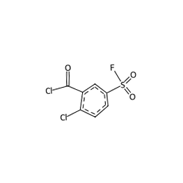 O=C(Cl)c1cc(S(=O)(=O)F)ccc1Cl